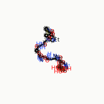 CCN1CCCc2cc3c(-c4ccccc4C(=O)N(C)CCCC(=O)NCCNC(=O)c4cccc(OCC(N=[N+]=[N-])OCCOCC(=O)NCC#Cc5cn(C6CC(OCN=[N+]=[N-])C(COP(=O)(O)OP(=O)(O)OP(=O)(O)O)O6)c(=O)nc5N)c4)c(-c4nc5ccccc5s4)c(=O)oc3cc21